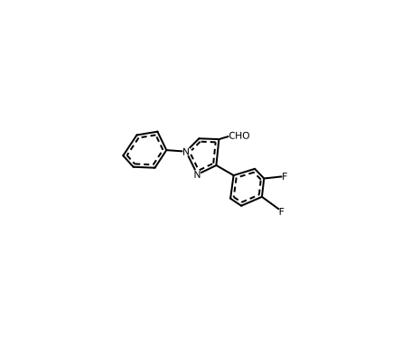 O=Cc1cn(-c2ccccc2)nc1-c1ccc(F)c(F)c1